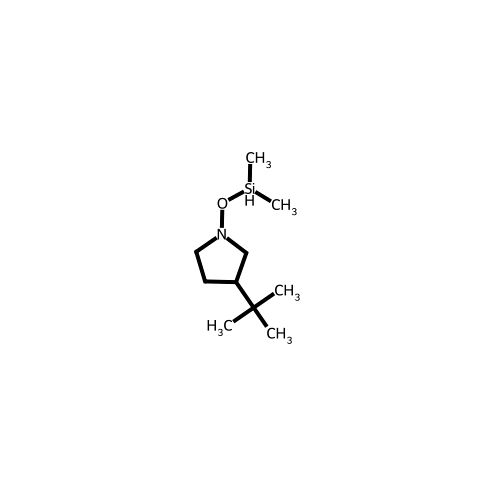 C[SiH](C)ON1CCC(C(C)(C)C)C1